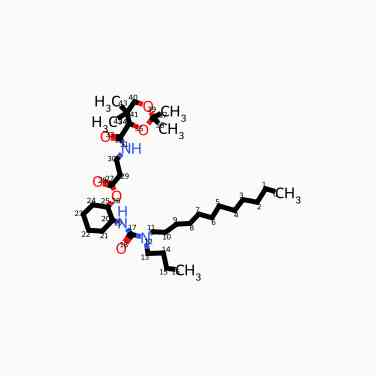 CCCCCCCCCCCCN(CCCC)C(=O)NC1CCCCC1OC(=O)CCNC(=O)C1OC(C)(C)OCC1(C)C